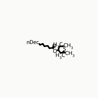 CCCCCCCCCCCCCCCC(=O)OC1CC(C)(C)SC(C)(C)C1